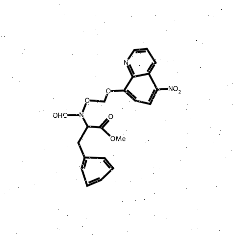 COC(=O)C(Cc1ccccc1)N(C=O)OCOc1ccc([N+](=O)[O-])c2cccnc12